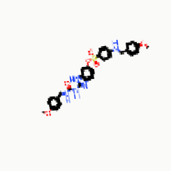 COc1ccc(CNC(=O)Nc2nc3ccc(OS(=O)(=O)c4ccc(NCc5ccc(OC)cc5)cc4)cc3[nH]2)cc1